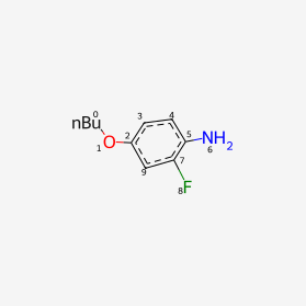 CCCCOc1ccc(N)c(F)c1